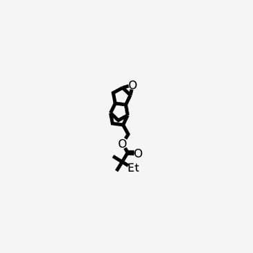 CCC(C)(C)C(=O)OCC1CC2CC1C1C2CC2OC21